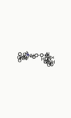 C=C/N=C(\NCc1ccc2cc(-c3ccc(-c4cnc([C@@H]5CC6(CC6)CN5C(O)[C@@H](NC(=O)OC)[C@@H](C)OC)[nH]4)cc3)ccc2c1)[C@@H]1CCCN1C(=O)[C@H](NC(=O)OC)c1ccccc1